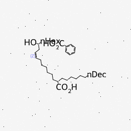 CCCCCCCCCCCCCCCCC(CCCCCC/C=C\CC(O)CCCCCC)C(=O)O.O=C(O)c1ccccc1